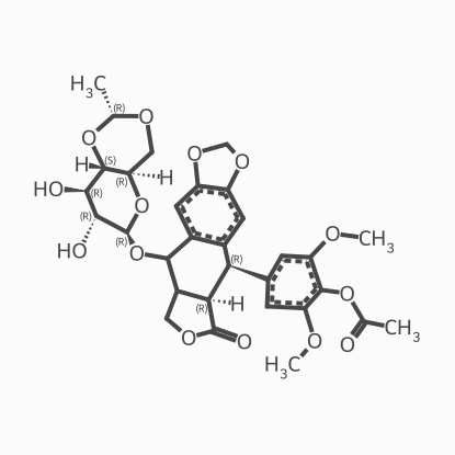 COc1cc([C@@H]2c3cc4c(cc3C(O[C@@H]3O[C@@H]5CO[C@@H](C)O[C@H]5[C@H](O)[C@H]3O)C3COC(=O)[C@@H]32)OCO4)cc(OC)c1OC(C)=O